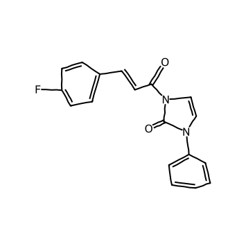 O=C(C=Cc1ccc(F)cc1)n1ccn(-c2ccccc2)c1=O